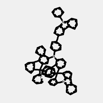 c1ccc(-n2c3ccccc3c3cc(-c4ccc(N(c5cccc6c5-c5ccccc5C65c6ccccc6-n6c7ccccc7c7cccc5c76)c5cc6c(c7ccccc57)-c5ccccc5C6(c5ccccc5)c5ccccc5)cc4)ccc32)cc1